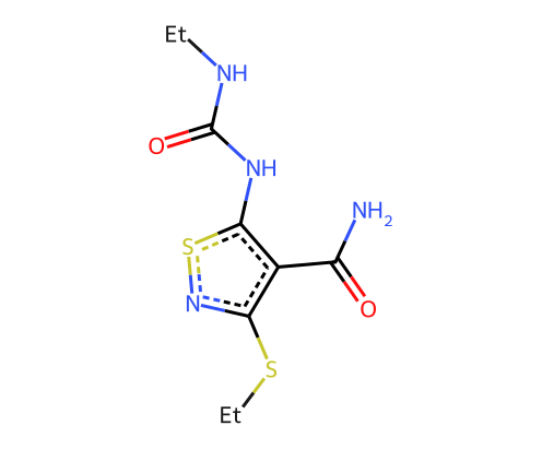 CCNC(=O)Nc1snc(SCC)c1C(N)=O